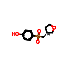 O=S(=O)(C[C@@H]1CCOC1)c1ccc(O)cc1